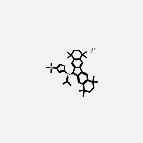 C[C](C)=[Zr+2]([C]1=CC([Si](C)(C)C)=CC1)[CH]1c2cc3c(cc2-c2cc4c(cc21)C(C)(C)CCC4(C)C)C(C)(C)CCC3(C)C.[Cl-].[Cl-]